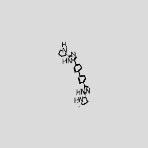 C[C@H]1CC[C@@H](c2ncc(-c3ccc(-c4ccc(-c5cnc([C@@H]6CC[C@H](C)N6)[nH]5)cc4)cc3)[nH]2)N1